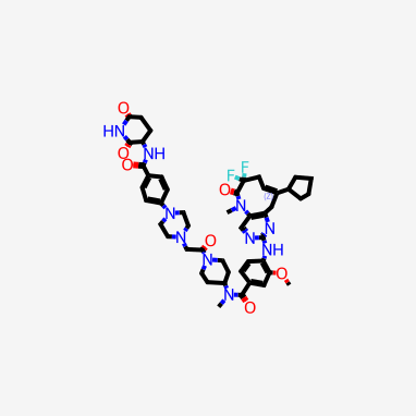 COc1cc(C(=O)N(C)C2CCN(C(=O)CN3CCN(c4ccc(C(=O)NC5CCC(=O)NC5=O)cc4)CC3)CC2)ccc1Nc1ncc2c(n1)C/C(C1CCCC1)=C/CC(F)(F)C(=O)N2C